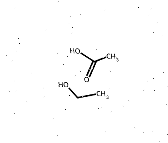 CC(=O)O.CCO